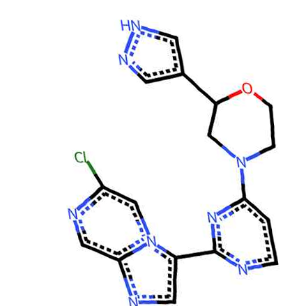 Clc1cn2c(-c3nccc(N4CCOC(c5cn[nH]c5)C4)n3)cnc2cn1